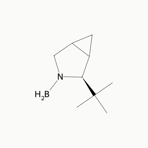 BN1CC2CC2[C@H]1C(C)(C)C